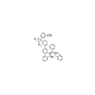 CC1(C)c2cc(-c3ccc(-c4ccccc4C(/N=C(\N)c4ccccc4)=N/Cc4ccccc4)cc3)ccc2-c2c(C#N)cccc21